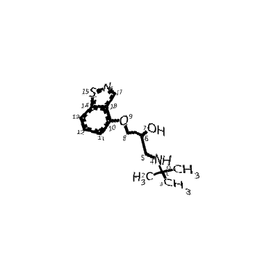 CC(C)(C)NCC(O)COc1cccc2sncc12